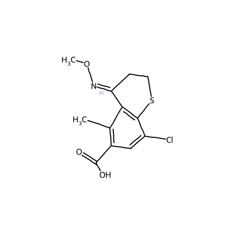 CO/N=C1\CCSc2c(Cl)cc(C(=O)O)c(C)c21